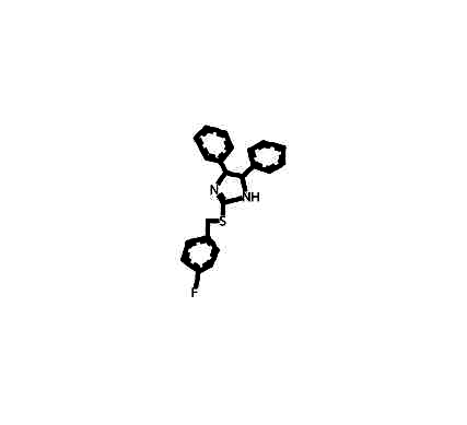 Fc1ccc(CSC2=NC(c3ccccc3)C(c3ccccc3)N2)cc1